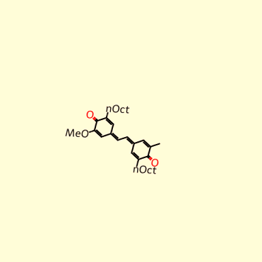 CCCCCCCCC1=C/C(=C\C=C2/C=C(CCCCCCCC)C(=O)C(OC)=C2)C=C(C)C1=O